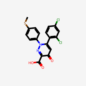 CSc1ccc(-n2nc(C(=O)O)c(=O)cc2-c2ccc(Cl)cc2Cl)cc1